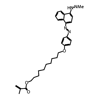 C=C(C)C(=O)OCCCCCCCCCCOc1ccc(/N=N/c2ccc(NNC)c3ccccc23)cc1